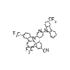 N#Cc1cc(-c2cc(-n3c4ccccc4c4cc(C(F)(F)F)ccc43)ncc2-n2c3ccccc3c3cc(C(F)(F)F)ccc32)cc(C(F)(F)F)c1